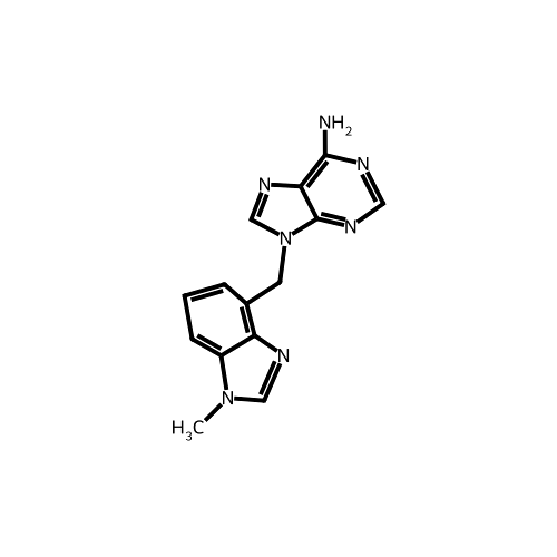 Cn1cnc2c(Cn3cnc4c(N)ncnc43)cccc21